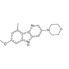 COc1cc(C)c2c(c1)[nH]c1cc(N3CCOCC3)cnc12